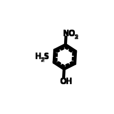 O=[N+]([O-])c1ccc(O)cc1.S